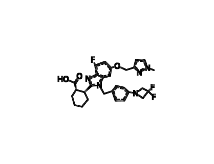 Cn1ccc(COc2cc(F)c3nc([C@H]4CCCC[C@H]4C(=O)O)n(Cc4ccc(N5CC(F)(F)C5)cc4)c3c2)n1